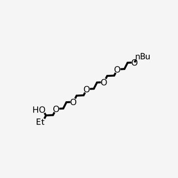 CCCCOCCOCCOCCOCCOCCOCC(O)CC